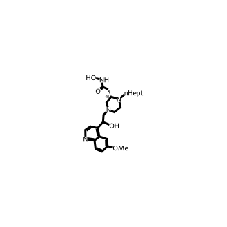 CCCCCCCN1CCN(CC(O)c2ccnc3ccc(OC)cc23)C[C@@H]1CC(=O)NO